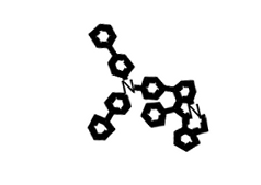 c1ccc(-c2ccc(N(c3ccc(-c4ccccc4)cc3)c3ccc(-c4cccc5c4c(-c4ccccc4)c4c6ccccc6ccn54)cc3)cc2)cc1